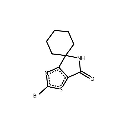 O=C1NC2(CCCCC2)c2nc(Br)sc21